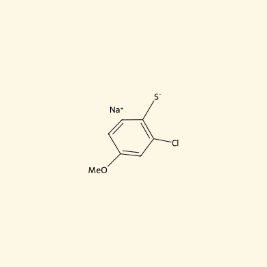 COc1ccc([S-])c(Cl)c1.[Na+]